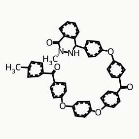 Cc1ccc(C(=O)c2ccc(Oc3ccc(Oc4ccc(C(=O)c5ccc(Oc6ccc(C7NN(C)C(=O)c8ccccc87)cc6)cc5)cc4)cc3)cc2)cc1